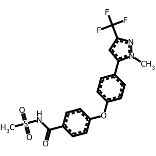 Cn1nc(C(F)(F)F)cc1-c1ccc(Oc2ccc(C(=O)NS(C)(=O)=O)cc2)cc1